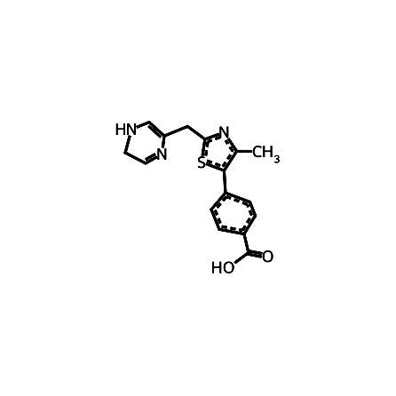 Cc1nc(CC2=CNCC=N2)sc1-c1ccc(C(=O)O)cc1